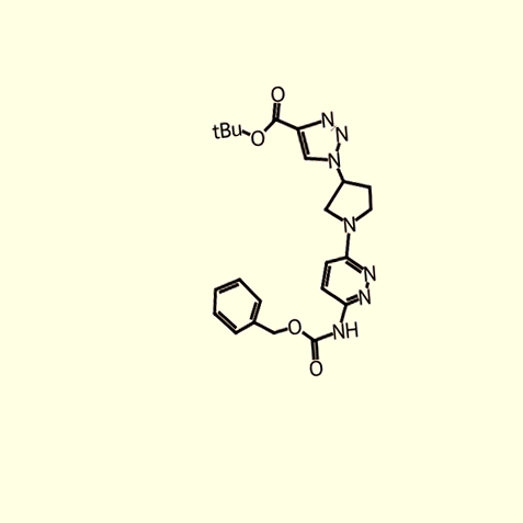 CC(C)(C)OC(=O)c1cn(C2CCN(c3ccc(NC(=O)OCc4ccccc4)nn3)C2)nn1